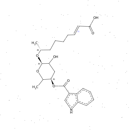 CC1O[C@@H](O[C@H](C)CCCC/C=C/C(=O)O)C(O)C[C@H]1OC(=O)c1c[nH]c2ccccc12